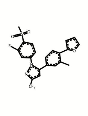 Cc1cc(-c2cc(C(F)(F)F)nn2-c2ccc(S(C)(=O)=O)c(F)c2)ccc1-c1ccco1